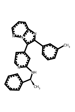 Cc1cccc(-c2nc3cccnn3c2-c2ccnc(N[C@@H](C)c3ccccc3)c2)c1